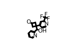 O=C1CC(c2ccnc(C(F)(F)F)c2)(C(O)c2ccccn2)C1